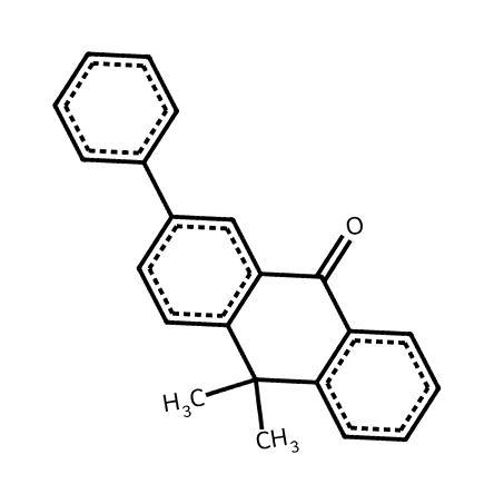 CC1(C)c2ccccc2C(=O)c2cc(-c3ccccc3)ccc21